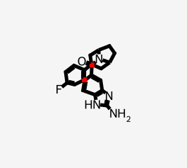 Nc1nc2cc(C(=O)N3C4CCC3CC(c3ccc(F)cc3)C4)ccc2[nH]1